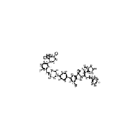 O=C1CCN(c2cnc(F)c(CN3CCN(c4ccc(-c5cc(F)c6c(c5)C(=O)N(C(CNc5nccs5)c5ncn7c5CCC7)C6)cc4)CC3)c2)C(=O)N1